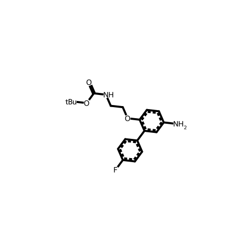 CC(C)(C)OC(=O)NCCOc1ccc(N)cc1-c1ccc(F)cc1